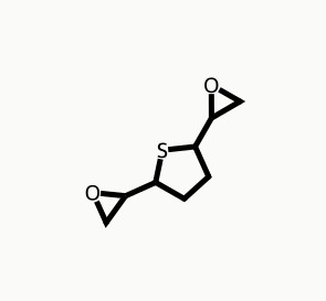 C1OC1C1CCC(C2CO2)S1